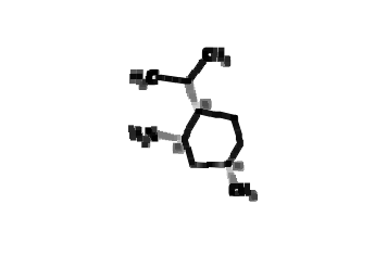 CC(C)[C@@H]1CC[C@H](C)C[C@@H]1N